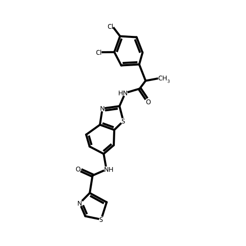 CC(C(=O)Nc1nc2ccc(NC(=O)c3cscn3)cc2s1)c1ccc(Cl)c(Cl)c1